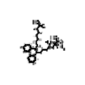 CC(C)(CCCCCC(c1ccccc1)C(CCCCCCC(=O)O)c1ccccc1)C(=O)O